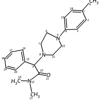 Cc1ccc(N2CCN(C(C(=O)N(C)C)c3ccccc3)CC2)cc1